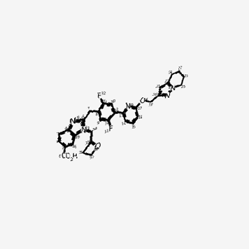 O=C(O)c1ccc2nc(Cc3cc(F)c(-c4cccc(OCc5cc6n(n5)CCCC6)n4)cc3F)n(CC3CCO3)c2c1